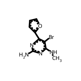 CNc1nc(N)nc(-c2ccco2)c1Br